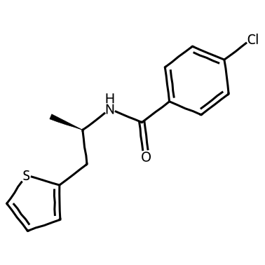 C[C@H](Cc1cccs1)NC(=O)c1ccc(Cl)cc1